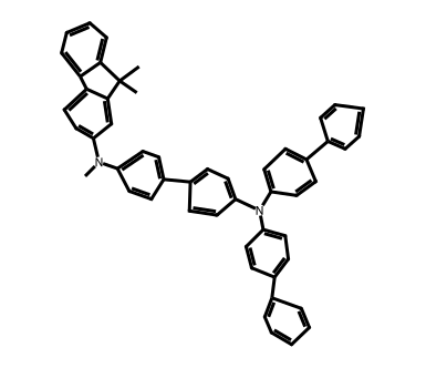 CN(c1ccc(-c2ccc(N(c3ccc(-c4ccccc4)cc3)c3ccc(-c4ccccc4)cc3)cc2)cc1)c1ccc2c(c1)C(C)(C)c1ccccc1-2